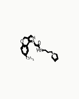 Cc1ccc2c(c1)-c1c(cnn1CC(=O)NCCCN1CCCC1)CO2